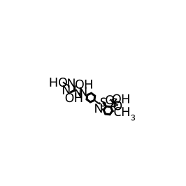 Cc1ccc2nc(-c3ccc(/N=N/c4c(O)nc(O)nc4O)cc3)sc2c1S(=O)(=O)O